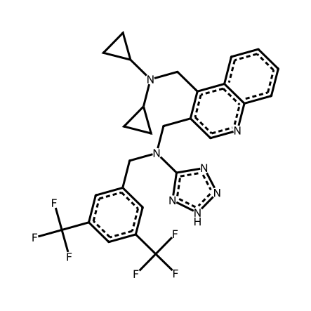 FC(F)(F)c1cc(CN(Cc2cnc3ccccc3c2CN(C2CC2)C2CC2)c2nn[nH]n2)cc(C(F)(F)F)c1